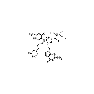 CC(C)[C@H](N)C(=O)OCC(CO)OCn1cnc2c(=O)nc(N)[nH]c21.Nc1nc(=O)c2ncn(CCC(CO)CO)c2[nH]1